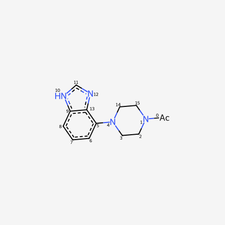 CC(=O)N1CCN(c2cccc3[nH]cnc23)CC1